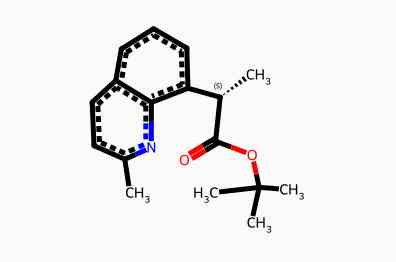 Cc1ccc2cccc([C@H](C)C(=O)OC(C)(C)C)c2n1